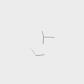 FC(F)Cl.FCCl